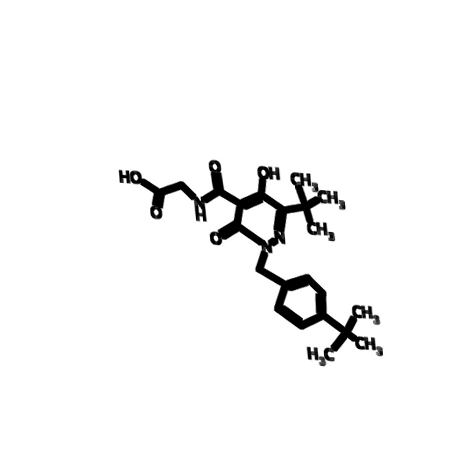 CC(C)(C)c1ccc(Cn2nc(C(C)(C)C)c(O)c(C(=O)NCC(=O)O)c2=O)cc1